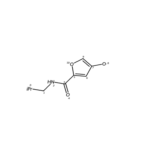 CC(C)CNC(=O)c1cc([O])co1